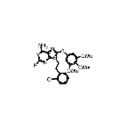 COc1cc(Sc2nc3c(N)nc(F)nc3n2CCc2ccccc2Cl)cc(OC)c1OC